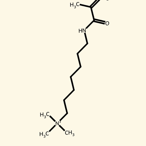 C=C(C)C(=O)NCCCCCCC[N+](C)(C)C